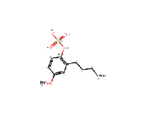 CCCCCCCCCCCCc1cc(O)ccc1OS(=O)(=O)[O-].[Na+]